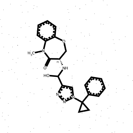 CN1C(=O)[C@@H](NC(O)c2cn(C3(c4ccccc4)CC3)nn2)COc2ccccc21